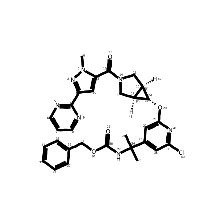 Cn1nc(-c2ncccn2)cc1C(=O)N1C[C@@H]2[C@H](C1)[C@H]2Oc1cc(C(C)(C)NC(=O)OCc2ccccc2)cc(Cl)n1